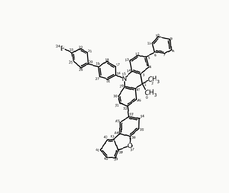 CC1(C)c2cc(-c3ccccc3)ccc2N(c2ccc(-c3ccc(F)cc3)cc2)c2ccc(-c3ccc4oc5ccccc5c4c3)cc21